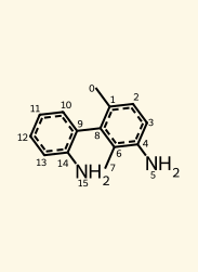 Cc1ccc(N)c(C)c1-c1ccccc1N